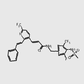 CS(=O)(=O)Nc1c(F)cc(CNC(=O)C=Cc2ccc(C(F)(F)F)nc2C=Cc2ccccc2)cc1C(F)(F)F